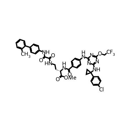 COC(=O)[C@H](CCNC(=O)C(=O)Nc1ccc(-c2ccccc2C)cc1)NC(=O)c1ccc(Nc2nc(NC3(c4ccc(Cl)cc4)CC3)nc(OCC(F)(F)F)n2)cc1